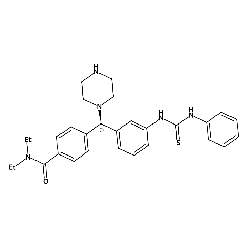 CCN(CC)C(=O)c1ccc([C@H](c2cccc(NC(=S)Nc3ccccc3)c2)N2CCNCC2)cc1